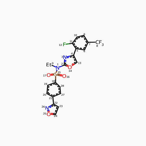 CCN(c1nc(-c2cc(C(F)(F)F)ccc2F)co1)S(=O)(=O)c1ccc(-c2ccon2)cc1